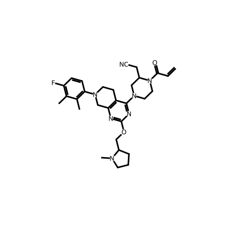 C=CC(=O)N1CCN(c2nc(OCC3CCCN3C)nc3c2CCN(c2ccc(F)c(C)c2C)C3)CC1CC#N